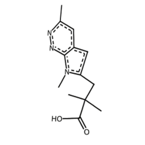 Cc1cc2cc(CC(C)(C)C(=O)O)n(C)c2nn1